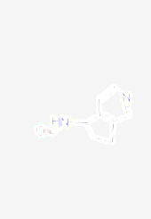 O=CNC1CCc2cnccc21